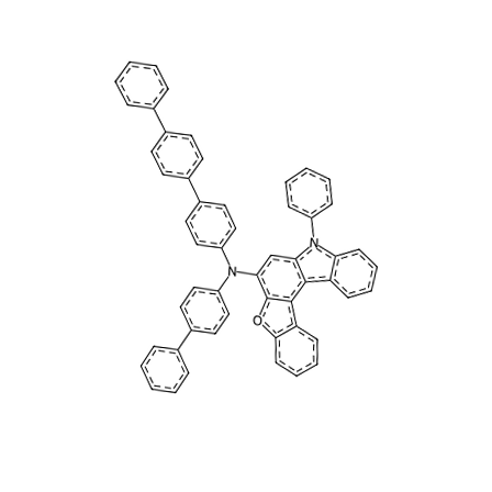 c1ccc(-c2ccc(-c3ccc(N(c4ccc(-c5ccccc5)cc4)c4cc5c(c6ccccc6n5-c5ccccc5)c5c4oc4ccccc45)cc3)cc2)cc1